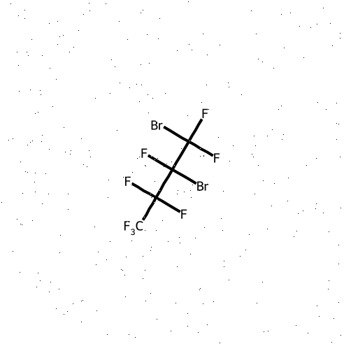 FC(F)(F)C(F)(F)C(F)(Br)C(F)(F)Br